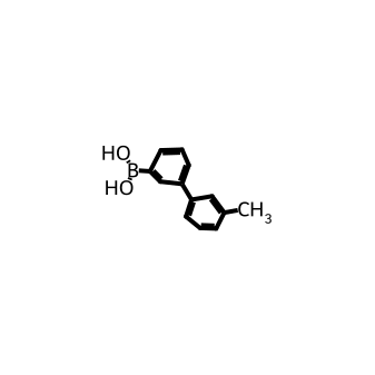 Cc1cccc(-c2cccc(B(O)O)c2)c1